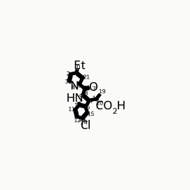 CCc1ccnc(C(=O)c2[nH]c3ccc(Cl)cc3c2C(C)C(=O)O)c1